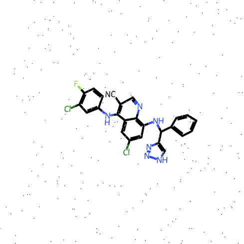 N#Cc1cnc2c(NC(c3ccccc3)c3c[nH]nn3)cc(Cl)cc2c1Nc1ccc(F)c(Cl)c1